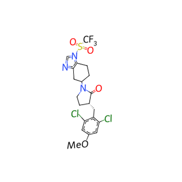 COc1cc(Cl)c(C[C@@H]2CCN(C3CCc4c(ncn4S(=O)(=O)C(F)(F)F)C3)C2=O)c(Cl)c1